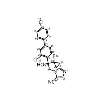 N#Cc1cncn1CC(O)(c1ccc(-c2ccc(Cl)cc2)cc1Cl)C1(F)CC1